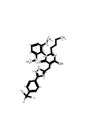 CCCCc1nc(O)c(Cc2nc(-c3ccc(C(F)(F)F)cc3)no2)c(=O)n1-c1c(OC)cccc1OC